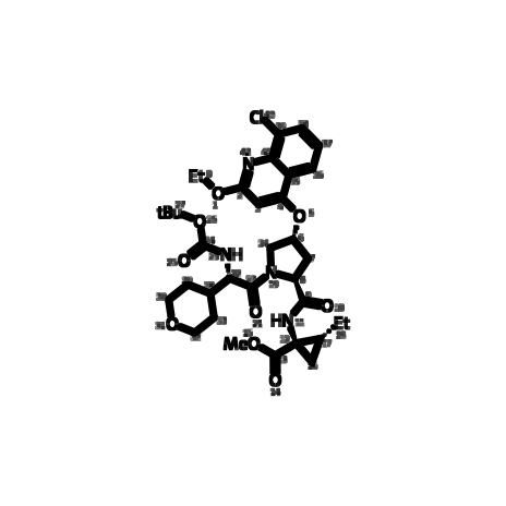 CCOc1cc(O[C@@H]2C[C@@H](C(=O)N[C@]3(C(=O)OC)C[C@H]3CC)N(C(=O)[C@@H](NC(=O)OC(C)(C)C)C3CCOCC3)C2)c2cccc(Cl)c2n1